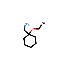 CCOC1(CN)CCCCC1